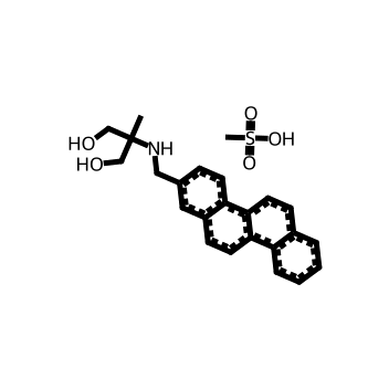 CC(CO)(CO)NCc1ccc2c(ccc3c4ccccc4ccc23)c1.CS(=O)(=O)O